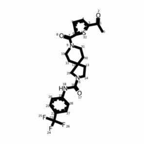 CC(=O)c1ccc(C(=O)N2CCC3(CCN(C(=O)Nc4ccc(C(F)(F)F)cc4)C3)CC2)s1